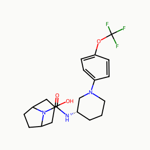 O=C(N[C@H]1CCCN(c2ccc(OC(F)(F)F)cc2)C1)N1C2CCC1CC(O)C2